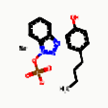 CCCCc1ccc(O)cc1.O=S(=O)([O-])On1nnc2ccccc21.[Na+]